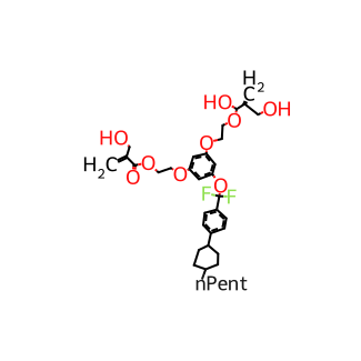 C=C(CO)C(=O)OCCOc1cc(OCCOC(O)C(=C)CO)cc(OC(F)(F)c2ccc(C3CCC(CCCCC)CC3)cc2)c1